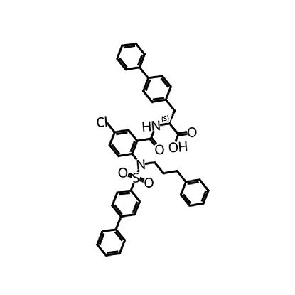 O=C(N[C@@H](Cc1ccc(-c2ccccc2)cc1)C(=O)O)c1cc(Cl)ccc1N(CCCc1ccccc1)S(=O)(=O)c1ccc(-c2ccccc2)cc1